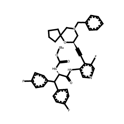 CC(C)(C)OC(=O)N[C@H](C(=O)Nc1cncc(F)c1C#C[C@@H]1CN(Cc2ccccc2)CC2(CCCC2)O1)C(c1ccc(F)cc1)c1ccc(F)cc1